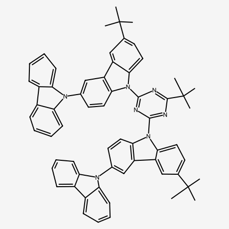 CC(C)(C)c1ccc2c(c1)c1cc(-n3c4ccccc4c4ccccc43)ccc1n2-c1nc(-n2c3ccc(-n4c5ccccc5c5ccccc54)cc3c3cc(C(C)(C)C)ccc32)nc(C(C)(C)C)n1